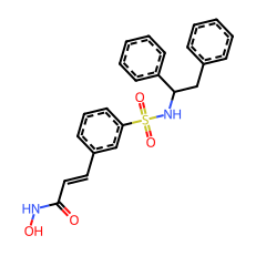 O=C(/C=C/c1cccc(S(=O)(=O)NC(Cc2ccccc2)c2ccccc2)c1)NO